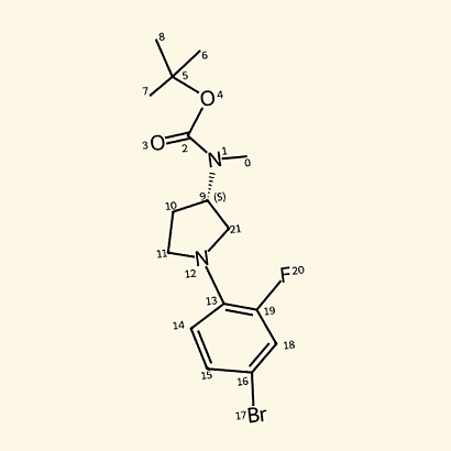 CN(C(=O)OC(C)(C)C)[C@H]1CCN(c2ccc(Br)cc2F)C1